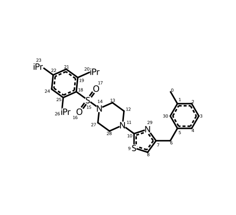 Cc1cccc(Cc2csc(N3CCN(S(=O)(=O)c4c(C(C)C)cc(C(C)C)cc4C(C)C)CC3)n2)c1